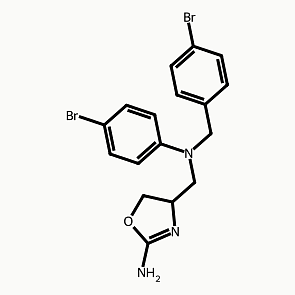 NC1=NC(CN(Cc2ccc(Br)cc2)c2ccc(Br)cc2)CO1